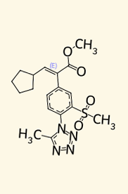 COC(=O)/C(=C/C1CCCC1)c1ccc(-n2nnnc2C)c(S(C)(=O)=O)c1